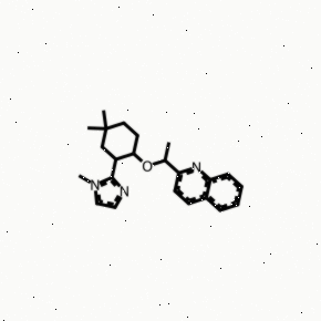 CC(OC1CCC(C)(C)CC1c1nccn1C)c1ccc2ccccc2n1